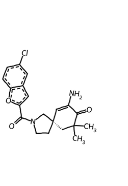 CC1(C)C[C@]2(C=C(N)C1=O)CCN(C(=O)c1cc3cc(Cl)ccc3o1)C2